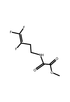 COC(=O)C(=O)NCCC(F)=C(F)F